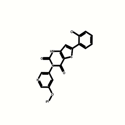 CC(C)Oc1cncc(-n2c(=O)[nH]c3cc(-c4ccccc4Cl)sc3c2=O)c1